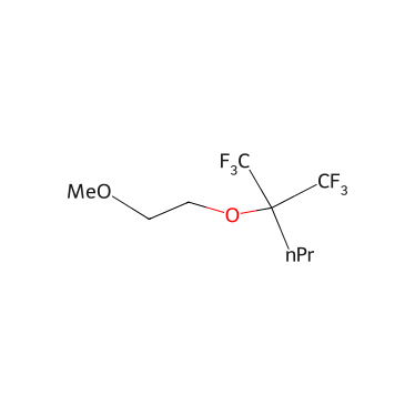 CCCC(OCCOC)(C(F)(F)F)C(F)(F)F